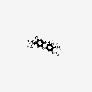 Cc1c(N)ccc(NC2=CC(=O)C(N(C)C)=CC2=O)c1C